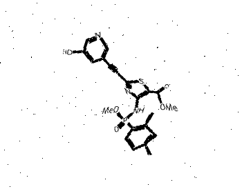 COC(=O)c1sc(C#Cc2cncc(O)c2)nc1NP(=O)(OC)c1ccc(C)cc1C